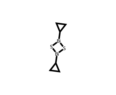 C1C[CH]1[Bi]1[S][Bi]([CH]2CC2)[S]1